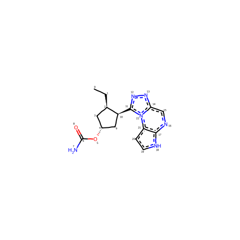 CC[C@@H]1C[C@@H](OC(N)=O)C[C@@H]1c1nnc2cnc3[nH]ccc3n12